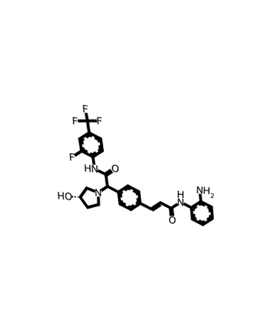 Nc1ccccc1NC(=O)C=Cc1ccc(C(C(=O)Nc2ccc(C(F)(F)F)cc2F)N2CC[C@H](O)C2)cc1